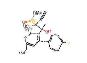 C#CC(C(=O)O)([PH](=O)OC)C(C)(O)c1c(-c2ccc(F)cc2)cc(C(C)(C)C)nc1C(C)C